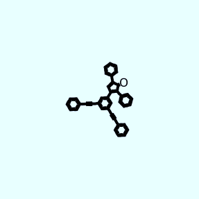 O=C1C(c2ccccc2)=CC(c2cc(C#Cc3ccccc3)cc(C#Cc3ccccc3)c2)=C1c1ccccc1